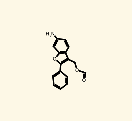 Nc1ccc2c(COC=O)c(-c3ccccc3)oc2c1